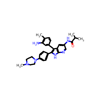 Cc1ccc(-c2c(-c3ccc(N4CCN(C)CC4)cc3)[nH]c3ncc(NC(=O)C(C)C)cc23)cc1N